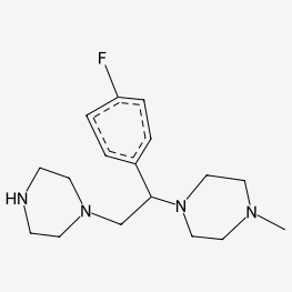 CN1CCN(C(CN2CCNCC2)c2ccc(F)cc2)CC1